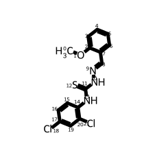 COc1ccccc1/C=N/NC(=S)Nc1ccc(Cl)cc1Cl